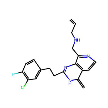 C=CCNCc1nccc2c1N=C(CCc1ccc(F)c(Cl)c1)NC2=C